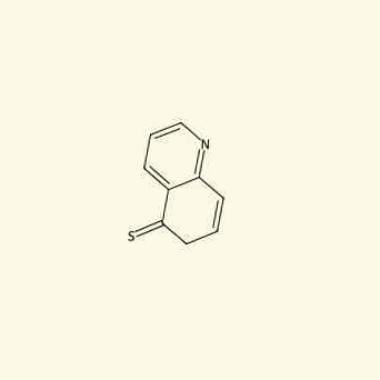 S=C1CC=Cc2ncccc21